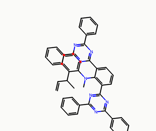 C=CC(C)c1ccccc1N(C)c1c(-c2nc(-c3ccccc3)nc(-c3ccccc3)n2)cccc1-c1nc(-c2ccccc2)nc(-c2ccccc2)n1